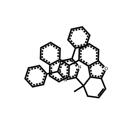 CC1(c2nc(-c3ccccc3)nc(-c3ccccc3)n2)CC=Cc2oc3cccc(-c4cccc5ccccc45)c3c21